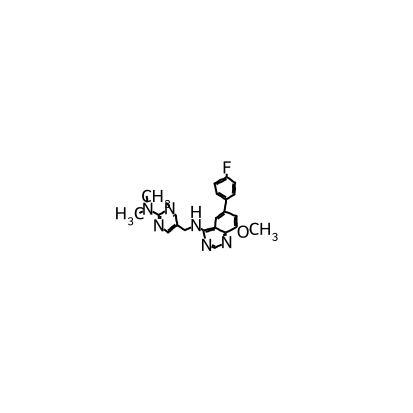 COc1cc(-c2ccc(F)cc2)cc2c(NCc3cnc(N(C)C)nc3)ncnc12